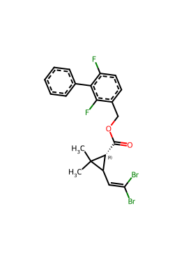 CC1(C)C(C=C(Br)Br)[C@H]1C(=O)OCc1ccc(F)c(-c2ccccc2)c1F